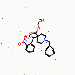 CCOC(=O)C1(C(C)c2ccccc2[N+](=O)[O-])CCN(Cc2ccccc2)CC1